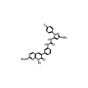 CNc1ncc2cc(-c3cccc(NC(=O)Nc4cc(C(C)(C)C)nn4-c4ccc(F)cc4)c3)c(=O)n(C(C)C)c2n1